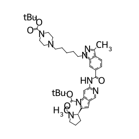 Cc1nn(CCCCCN2CCN(C(=O)OC(C)(C)C)CC2)c2cc(C(=O)Nc3cc4c(cn3)cc([C@H]3CCCN3C)n4C(=O)OC(C)(C)C)ccc12